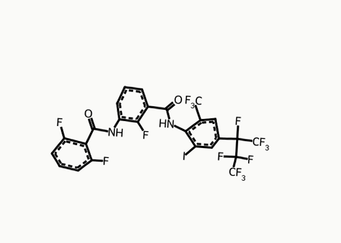 O=C(Nc1c(I)cc(C(F)(C(F)(F)F)C(F)(F)C(F)(F)F)cc1C(F)(F)F)c1cccc(NC(=O)c2c(F)cccc2F)c1F